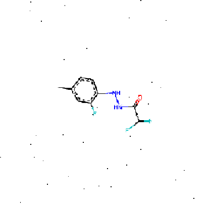 Cc1ccc(NNC(=O)C(F)F)c(F)c1